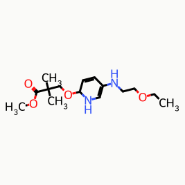 CCOCCNC1=CNC(OCC(C)(C)C(=O)OC)C=C1